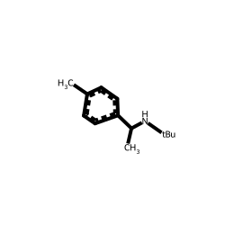 Cc1ccc(C(C)NC(C)(C)C)cc1